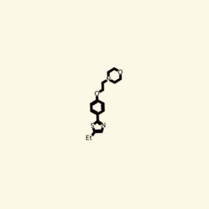 CCc1cnc(-c2ccc(OCCN3CCOCC3)cc2)s1